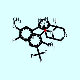 COc1cc(-c2nnc3n2C[C@@H]2COC[C@H]3N2C(=O)c2cccc(C(F)(F)F)c2C)ncc1F